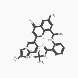 Cc1cc(C(C)Nc2ccccc2C(=O)OC(C)(C)C)c2oc(-c3ccc4nc(C)cn4c3)cc(=O)c2c1